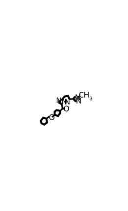 Cn1cc(-c2ccc3ncc(C(=O)c4ccc(OCc5ccccc5)cc4)n3n2)cn1